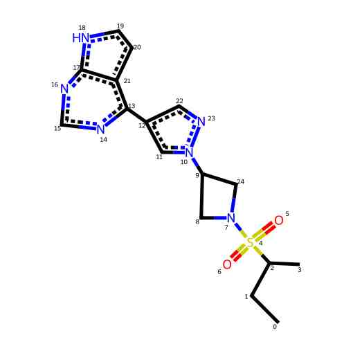 CCC(C)S(=O)(=O)N1C[C](n2cc(-c3ncnc4[nH]ccc34)cn2)C1